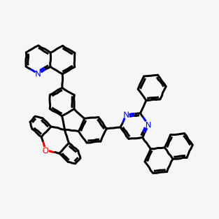 c1ccc(-c2nc(-c3ccc4c(c3)-c3cc(-c5cccc6cccnc56)ccc3C43c4ccccc4Oc4ccccc43)cc(-c3cccc4ccccc34)n2)cc1